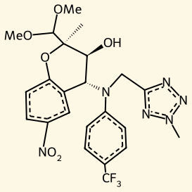 COC(OC)[C@]1(C)Oc2ccc([N+](=O)[O-])cc2[C@@H](N(Cc2nnn(C)n2)c2ccc(C(F)(F)F)cc2)[C@@H]1O